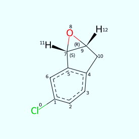 Clc1ccc2c(c1)[C@@H]1O[C@@H]1C2